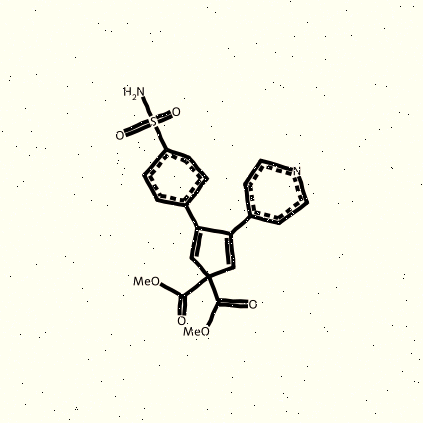 COC(=O)C1(C(=O)OC)C=C(c2ccncc2)C(c2ccc(S(N)(=O)=O)cc2)=C1